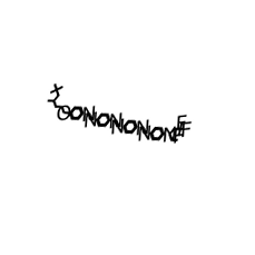 CCN(CC(F)(F)F)c1ccc(/N=N/c2ccc(/N=N/c3ccc(/N=N/c4ccc(OCCC(C)CC(C)(C)C)cc4)cc3)cc2)cc1